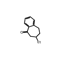 CCC1CCc2ccccc2C(=O)C1